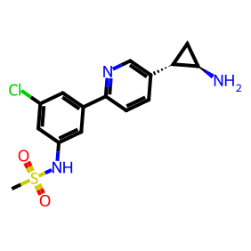 CS(=O)(=O)Nc1cc(Cl)cc(-c2ccc([C@@H]3C[C@H]3N)cn2)c1